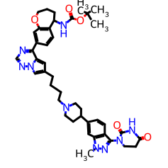 Cn1nc(N2CCC(=O)NC2=O)c2ccc(C3CCN(CCCCc4cc5c(-c6ccc7c(c6)OCCCC7NC(=O)OC(C)(C)C)ncnn5c4)CC3)cc21